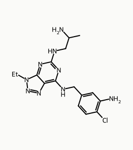 CCn1nnc2c(NCc3ccc(Cl)c(N)c3)nc(NCC(C)N)nc21